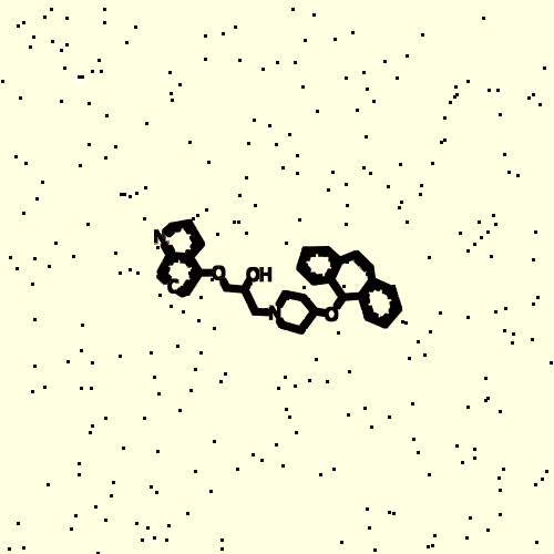 OC(COc1cccc2ncccc12)CN1CCC(OC2c3ccccc3C=Cc3ccccc32)CC1